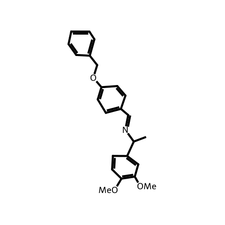 COc1ccc(C(C)N=Cc2ccc(OCc3ccccc3)cc2)cc1OC